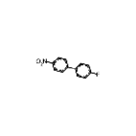 O=[N+]([O-])c1ccc(-c2ccc(F)cc2)cc1